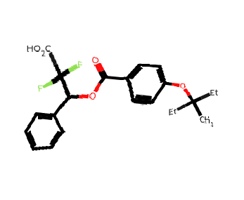 CCC(C)(CC)Oc1ccc(C(=O)OC(c2ccccc2)C(F)(F)C(=O)O)cc1